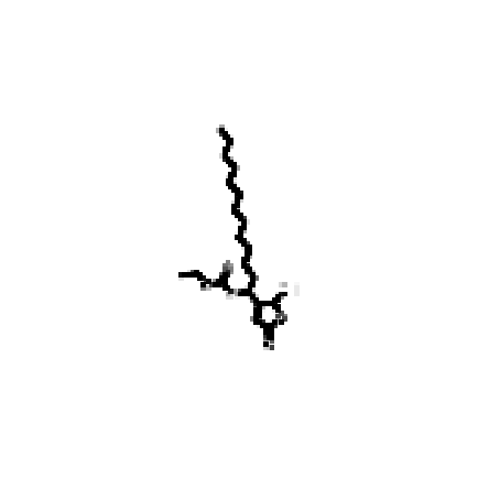 CCCCCCCCCCCCC(OC(=O)OCC)C1=CC(=O)OC1O